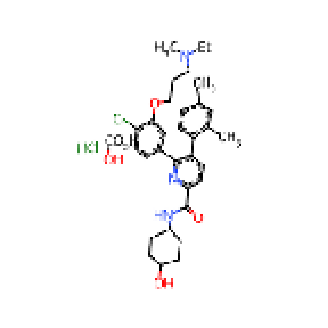 CCN(C)CCCOc1cc(-c2nc(C(=O)NC3CCC(O)CC3)ccc2-c2ccc(C)cc2C)ccc1Cl.Cl.O=C(O)O